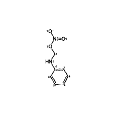 O=[N+]([O-])OCNc1ccccc1